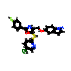 Fc1ccc(-c2nc(COc3ccc4[nH]ccc4c3)c(Sc3ccc(Cl)cn3)o2)cc1